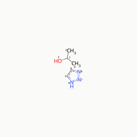 CC(C)O.c1c[nH]nn1